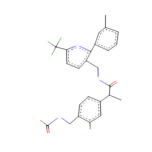 Cc1cccc(-c2nc(C(F)(F)F)ccc2CNC(=O)C(C)c2ccc(CNC(=O)O)c(Cl)c2)c1